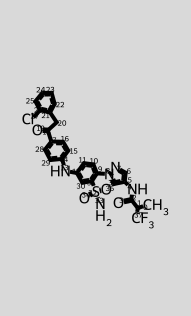 CC(C(=O)Nc1cnn(-c2ccc(Nc3ccc(C(=O)Cc4ccccc4Cl)cc3)cc2S(N)(=O)=O)c1)C(F)(F)F